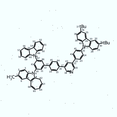 Cc1ccc2c(c1)c1c(n2-c2cc(-c3ccc(-c4cncc(-c5ccc(-n6c7ccc(C(C)(C)C)cc7c7cc(C(C)(C)C)ccc76)cc5)c4)cc3)cc(-n3c4ccccc4c4ccccc43)c2)CC=CC=C1